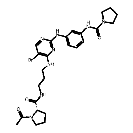 CC(=O)N1CCC[C@H]1C(=O)NCCCNc1nc(Nc2cccc(NC(=O)N3CCCC3)c2)ncc1Br